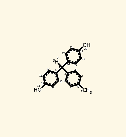 [3H]C(c1ccc(C)cc1)(c1ccc(O)cc1)c1ccc(O)cc1